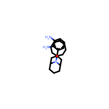 Nc1cccc(C2CC3CCCC(C2)N3C2CCCCCCC2)c1N